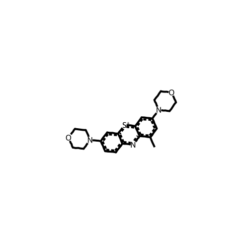 Cc1cc(N2CCOCC2)cc2[s+]c3cc(N4CCOCC4)ccc3nc12